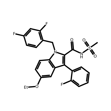 CCOc1ccc2c(c1)c(-c1ccccc1F)c(C(=O)NS(C)(=O)=O)n2Cc1ccc(F)cc1F